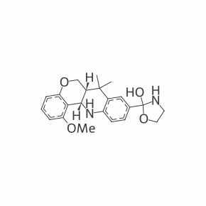 COc1cccc2c1[C@H]1Nc3ccc(C4(O)NCCO4)cc3C(C)(C)[C@H]1CO2